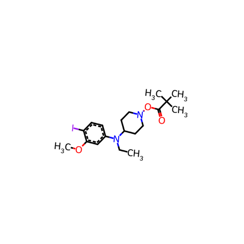 CCN(c1ccc(I)c(OC)c1)C1CCN(OC(=O)C(C)(C)C)CC1